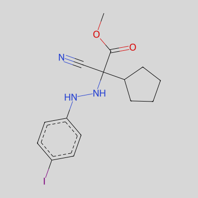 COC(=O)C(C#N)(NNc1ccc(I)cc1)C1CCCC1